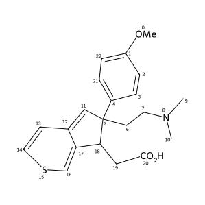 COc1ccc(C2(CCN(C)C)C=C3C=CSC=C3C2CC(=O)O)cc1